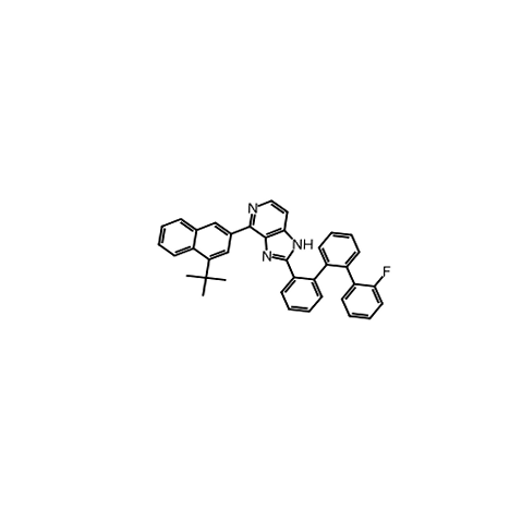 CC(C)(C)c1cc(-c2nccc3[nH]c(-c4ccccc4-c4ccccc4-c4ccccc4F)nc23)cc2ccccc12